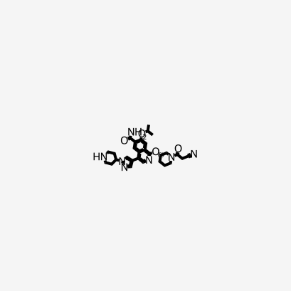 CC(C)Oc1cc2c(O[C@@H]3CCCN(C(=O)CC#N)C3)ncc(-c3cnn(C4CCNCC4)c3)c2cc1C(N)=O